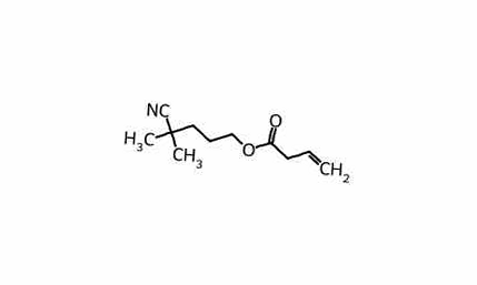 C=CCC(=O)OCCCC(C)(C)C#N